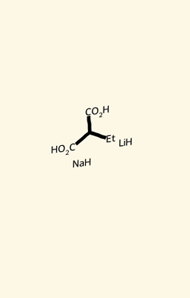 CCC(C(=O)O)C(=O)O.[LiH].[NaH]